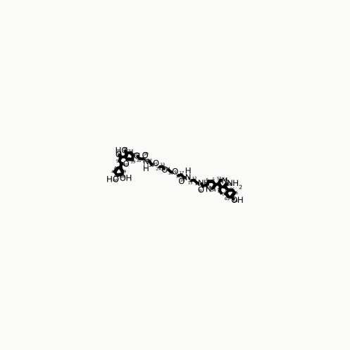 CCc1c(-c2ccc(C(=O)NCCCNC(=O)CCOCCOCCOCCNC(=O)COc3cc(O)c4c(c3)OC(c3ccc(O)c(O)c3)CC4=O)nc2)cnc(N)c1-c1ccc(O)cc1